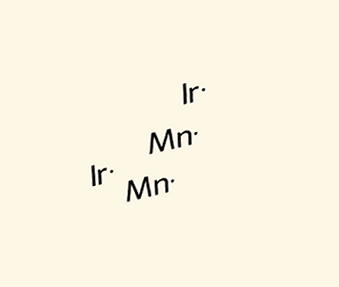 [Ir].[Ir].[Mn].[Mn]